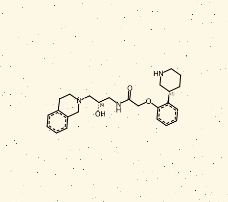 O=C(COc1ccccc1[C@@H]1CCCNC1)NC[C@H](O)CN1CCc2ccccc2C1